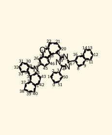 c1ccc(-c2nc(-c3ccc4ccccc4c3)nc(-c3cccc4oc5cc(-n6c7ccccc7c7c8ccccc8ccc76)ccc5c34)n2)cc1